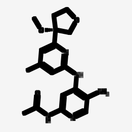 CO[C@]1(c2cc(C)cc(Nc3cc(NC(C)=O)ncc3N)n2)CCOC1